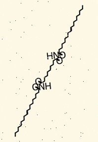 CCCCCCCCC=CCCCCCCCC(=O)NC(=O)CCCCCCCCC(=O)NC(=O)CCCCCCCC=CCCCCCCCC